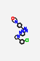 Clc1cccc(C2CCCN2c2ccc3nnc(-c4ccc(N5CCOCC5)cc4)n3n2)c1